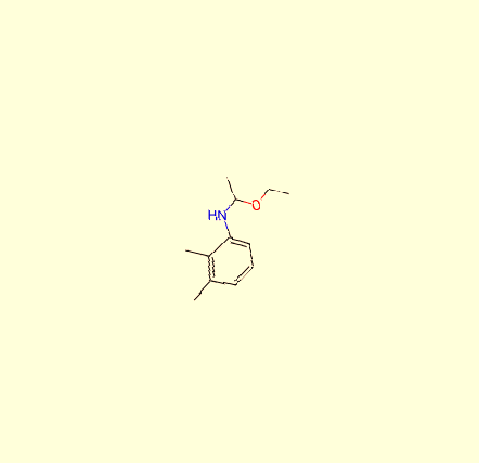 CCOC(C)Nc1cccc(C)c1C